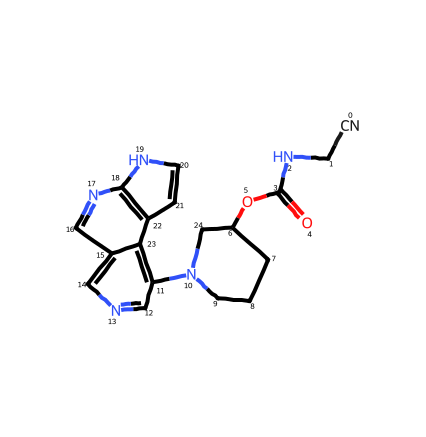 N#CCNC(=O)OC1CCCN(c2cncc3cnc4[nH]ccc4c23)C1